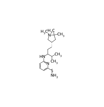 CC(C)C(CC[C@@H]1CN(C)C(C)(C)C1)Nc1cccc(SN)n1